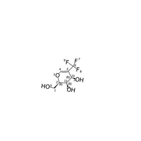 OC[C@H]1OC=C(C(F)(F)F)[C@@H](O)[C@H]1O